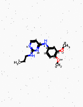 CCCNc1nccc(Nc2ccc(OC)c(OC)c2)n1